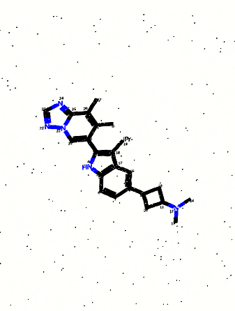 Cc1c(-c2[nH]c3ccc(C4CC(N(C)C)C4)cc3c2C(C)C)cn2ncnc2c1C